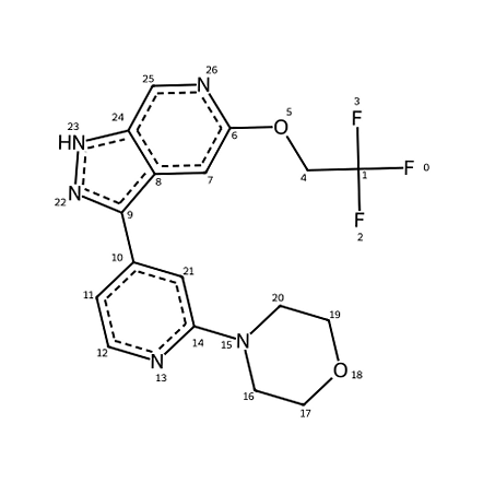 FC(F)(F)COc1cc2c(-c3ccnc(N4CCOCC4)c3)n[nH]c2cn1